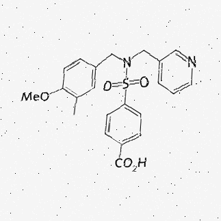 COc1ccc(CN(Cc2cccnc2)S(=O)(=O)c2ccc(C(=O)O)cc2)cc1C